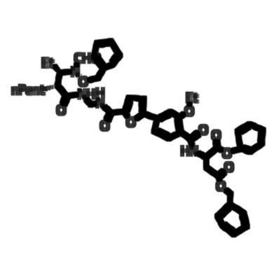 CCCCC[C@@H](C(=O)NCNC(=O)c1ccc(-c2ccc(C(=O)NC(CC(=O)OCc3ccccc3)C(=O)Oc3ccccc3)c(OCC)c2)o1)[C@@H](CC)N(C=O)OCc1ccccc1